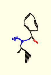 CCC(C)N(N)C(=O)c1ccccc1